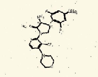 COc1cc(F)c([C@@H]2CN(c3nccc(N4CCOCC4)c3C(F)(F)F)C(=O)[C@H]2N)c(F)c1.Cl